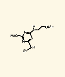 COCCNc1nc(NC(C)C)nc(SC)n1